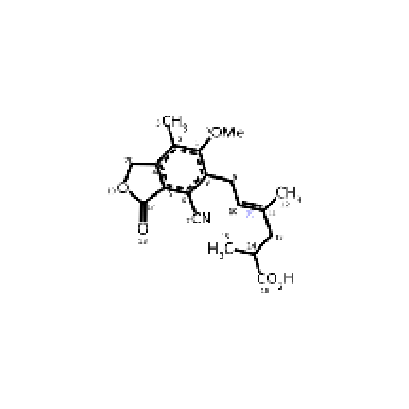 COc1c(C)c2c(c(C#N)c1C/C=C(\C)CC(C)C(=O)O)C(=O)OC2